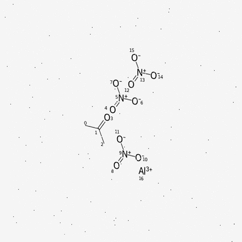 CC(C)=O.O=[N+]([O-])[O-].O=[N+]([O-])[O-].O=[N+]([O-])[O-].[Al+3]